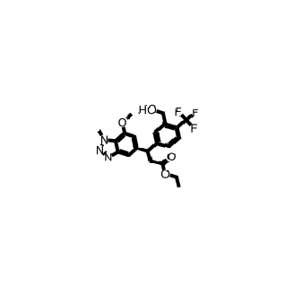 CCOC(=O)CC(c1ccc(C(F)(F)F)c(CO)c1)c1cc(OC)c2c(c1)nnn2C